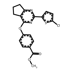 COC(=O)c1ccc(Oc2nc(-c3ccc(Cl)s3)nc3c2CCC3)cc1